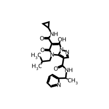 CC(C)Cn1c(=O)c(C(=O)NC2CC2)c(O)n2ncc(C(=O)N[C@@H](C)c3ccccn3)c12